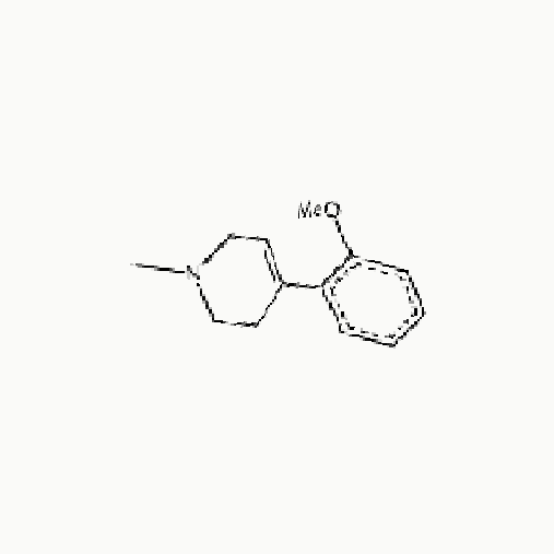 [CH2]N1CC=C(c2ccccc2OC)CC1